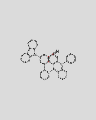 N#Cc1cc(-c2ccccc2-c2c3ccccc3c(-c3ccccc3)c3ccccc23)cc(-n2c3ccccc3c3ccccc32)c1